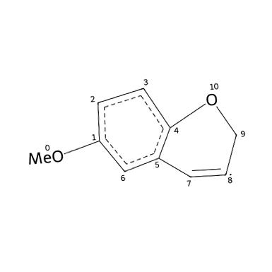 COc1ccc2c(c1)C=[C]CO2